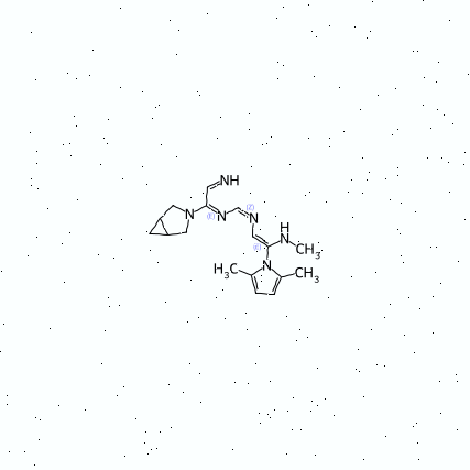 CN\C(=C/N=C\N=C(/C=N)N1CC2CC2C1)n1c(C)ccc1C